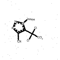 CCCCCCn1nnc(C#N)c1C(Cl)(Cl)C(Cl)(Cl)Cl